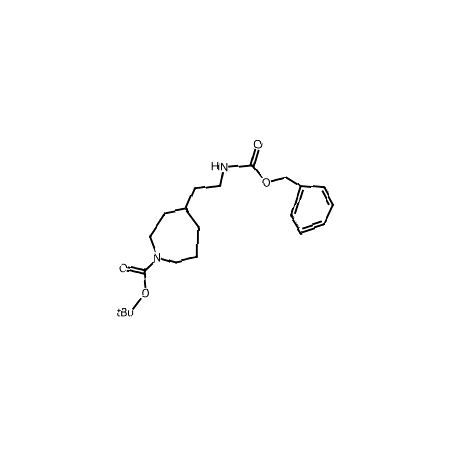 CC(C)(C)OC(=O)N1CCCC(CCNC(=O)OCc2ccccc2)CC1